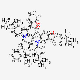 CC(C)(C)c1ccc(N2B3c4cc5c(cc4-n4c6ccc(C(C)(C)C)cc6c6c7c(oc8ccccc87)c(c3c64)-c3cc4oc6cc(C(C)(C)C)ccc6c4cc32)-c2ccccc2C5(C)C)cc1